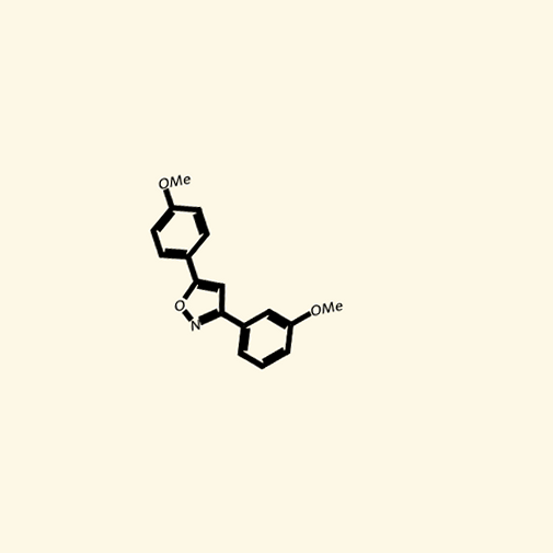 COc1ccc(-c2cc(-c3cccc(OC)c3)no2)cc1